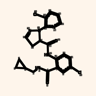 O=C(NCC1CC1)c1cc(Cl)ccc1NC(=O)C1C[C]=NN1c1ncccc1Cl